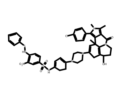 Cc1c2c(c(-c3ccc(Cl)cc3)n1C)C1(C)C=C(N3CCN(C4=CC=C(NS(=O)(=O)c5ccc(NSc6ccccc6)c([N+](=O)[O-])c5)CC4)CC3)CC3=C1N(CCC3O)C2=O